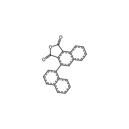 O=C1OC(=O)c2c1c(-c1cccc3ccccc13)cc1ccccc21